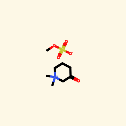 COS(=O)(=O)[O-].C[N+]1(C)CCCC(=O)C1